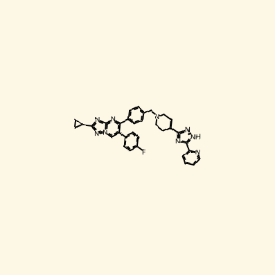 Fc1ccc(-c2cn3nc(C4CC4)nc3nc2-c2ccc(CN3CCC(c4n[nH]c(-c5ccccn5)n4)CC3)cc2)cc1